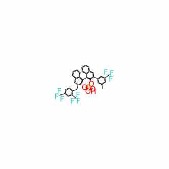 Cc1cc(-c2cc3ccccc3c3c2OP(=O)(O)Oc2c(Cc4ccc(C(F)(F)F)cc4C(F)(F)F)cc4ccccc4c2-3)cc(C(F)(F)F)c1